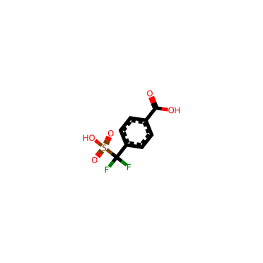 O=C(O)c1ccc(C(F)(F)S(=O)(=O)O)cc1